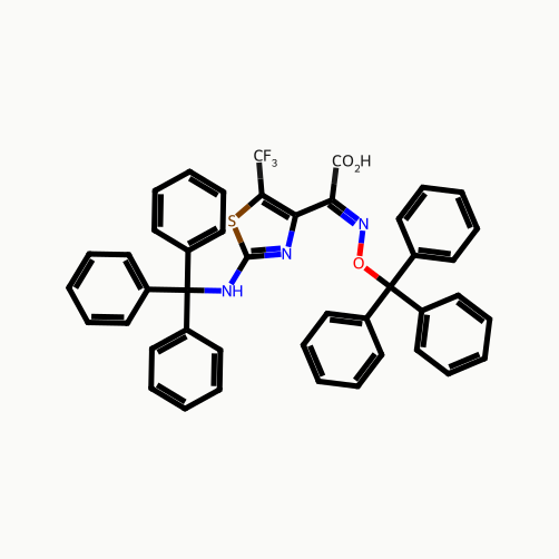 O=C(O)C(=NOC(c1ccccc1)(c1ccccc1)c1ccccc1)c1nc(NC(c2ccccc2)(c2ccccc2)c2ccccc2)sc1C(F)(F)F